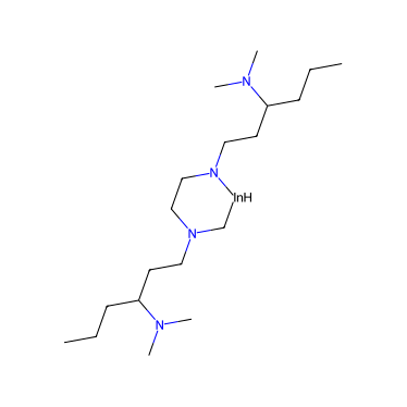 CCCC(CCN1CC[N](CCC(CCC)N(C)C)[InH][CH2]1)N(C)C